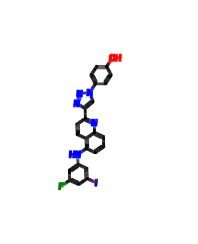 Oc1ccc(-n2cc(-c3ccc4c(Nc5cc(F)cc(I)c5)cccc4n3)nn2)cc1